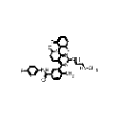 CNCCNc1nc(-c2cc(C(=O)Nc3ccc(F)cc3)ccc2C)c2ccc(=O)n(-c3c(F)cccc3F)c2n1